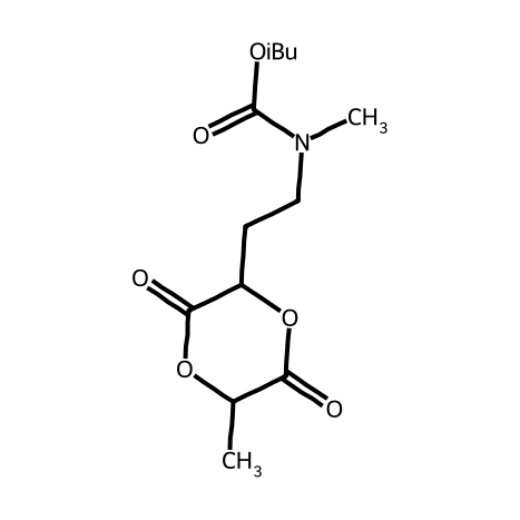 CC(C)COC(=O)N(C)CCC1OC(=O)C(C)OC1=O